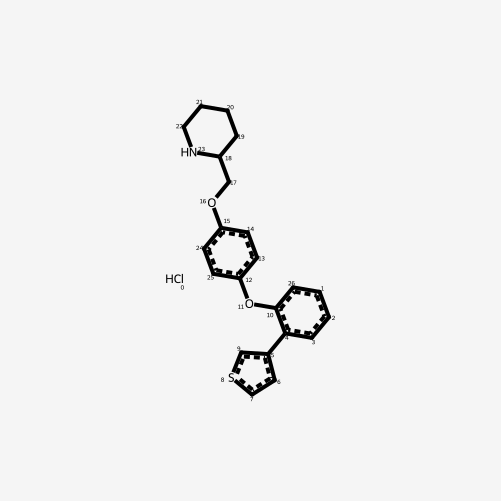 Cl.c1ccc(-c2ccsc2)c(Oc2ccc(OCC3CCCCN3)cc2)c1